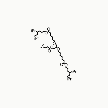 CC(C)CCC(CCCOC(=O)CCCCCCOC(COCCCCCC(=O)OCCCC(CCC(C)C)C(C)C)COC(=O)CCN(C)C)C(C)C